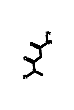 CC(C)NC(=O)CC(=O)N(C)C(C)C